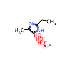 CCc1nc(C)c[nH]1.[Al+3].[OH-].[OH-].[OH-]